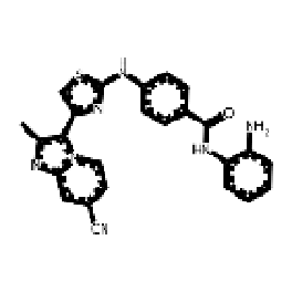 Cc1nc2cc(C#N)ccn2c1-c1csc(Nc2ccc(C(=O)Nc3ccccc3N)cc2)n1